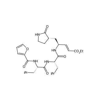 CCOC(=O)/C=C/[C@H](C[C@@H]1CCNC1=O)NC(=O)[C@H](CC(C)C)NC(=O)[C@H](CC(C)C)NC(=O)c1ccco1